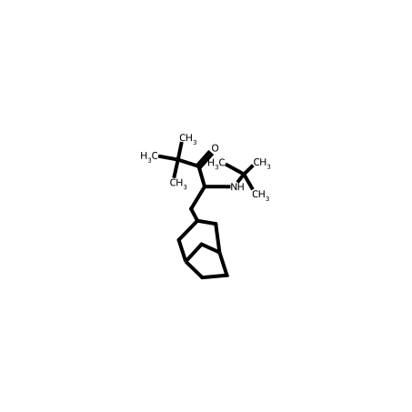 CC(C)(C)NC(CC1CC2CCC(C2)C1)C(=O)C(C)(C)C